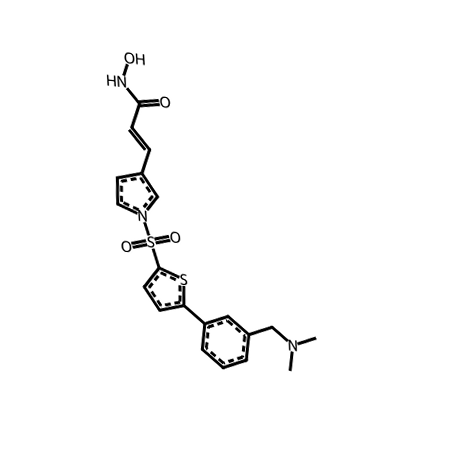 CN(C)Cc1cccc(-c2ccc(S(=O)(=O)n3ccc(/C=C/C(=O)NO)c3)s2)c1